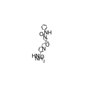 NNC(=O)c1ccc(CC2OCC23CN(C(=O)Nc2ccccc2)C3)nc1